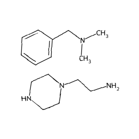 CN(C)Cc1ccccc1.NCCN1CCNCC1